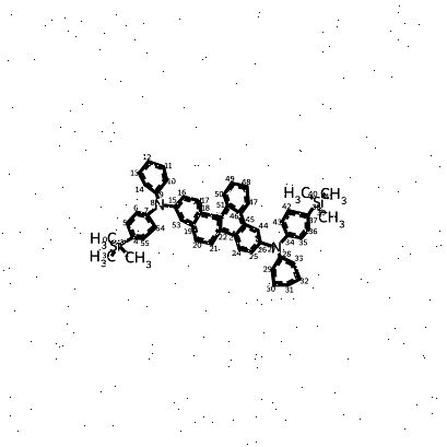 C[Si](C)(C)c1ccc(N(c2ccccc2)c2ccc3c(ccc4c5ccc(N(c6ccccc6)c6ccc([Si](C)(C)C)cc6)cc5c5ccccc5c34)c2)cc1